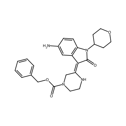 Nc1ccc2c(c1)/C(=C1\CN(C(=O)OCc3ccccc3)CCN1)C(=O)N2C1CCOCC1